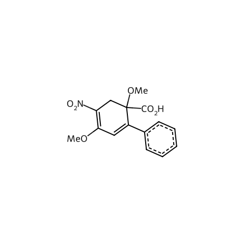 COC1=C([N+](=O)[O-])CC(OC)(C(=O)O)C(c2ccccc2)=C1